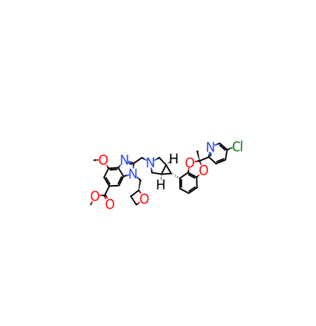 COC(=O)c1cc(OC)c2nc(CN3C[C@@H]4[C@H](C3)[C@H]4c3cccc4c3O[C@](C)(c3ccc(Cl)cn3)O4)n(C[C@@H]3CCO3)c2c1